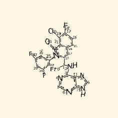 CCC(Nc1ncnc2[nH]cnc12)c1cc2ccc(F)c(Cl)c2c(=O)n1-c1cc(F)cc(F)c1